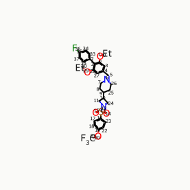 CCOc1cc(CN2CCC(C3CN(S(=O)(=O)c4ccc(OC(F)(F)F)cc4)C3)CC2)cc(OCC)c1-c1ccc(F)cc1